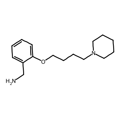 NCc1ccccc1OCCCCN1CCCCC1